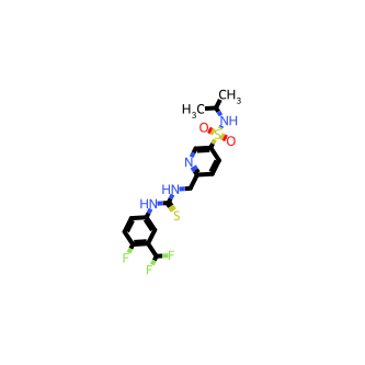 CC(C)NS(=O)(=O)c1ccc(CNC(=S)Nc2ccc(F)c(C(F)F)c2)nc1